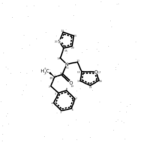 C[C@H](Cc1ccccc1)C(=O)N(Cc1ccco1)Cc1cccs1